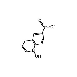 O=[N+]([O-])c1ccc2c(c1)CC=CN2O